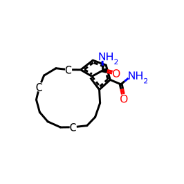 NC(=O)c1ccc2c(C(N)=O)c1CCCCCCCCCCCC2